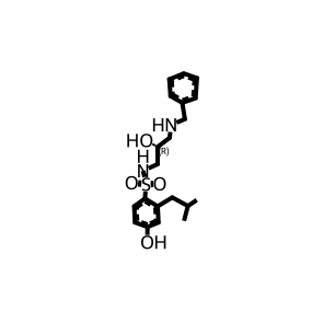 CC(C)Cc1cc(O)ccc1S(=O)(=O)NC[C@H](O)CNCc1ccccc1